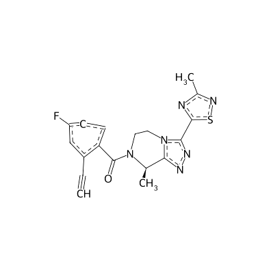 C#Cc1cc(F)ccc1C(=O)N1CCn2c(-c3nc(C)ns3)nnc2[C@H]1C